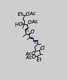 CCC(CCC(C)(O)C(/C=C/C(C)C(=O)/C(C)=C/C=C/C(C)CC(OC(C)=O)C(Cl)C(C)C(CC)OC(C)=O)OC(C)=O)OC(C)=O